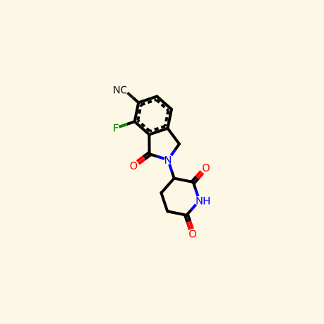 N#Cc1ccc2c(c1F)C(=O)N(C1CCC(=O)NC1=O)C2